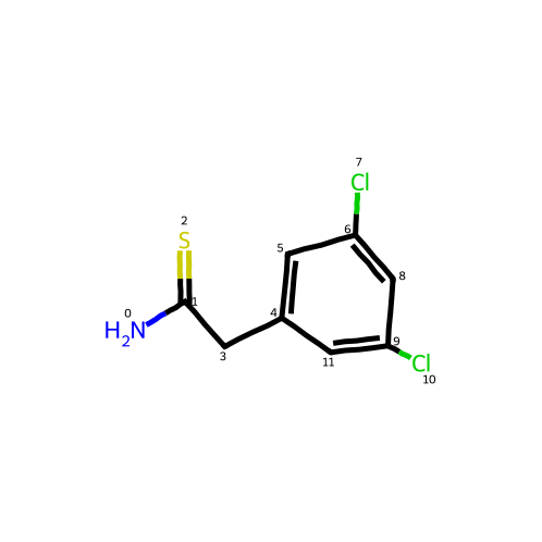 NC(=S)Cc1cc(Cl)cc(Cl)c1